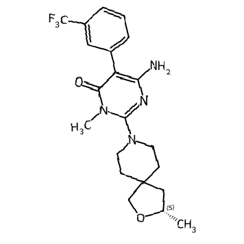 C[C@H]1CC2(CCN(c3nc(N)c(-c4cccc(C(F)(F)F)c4)c(=O)n3C)CC2)CO1